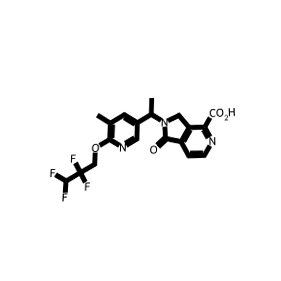 Cc1cc(C(C)N2Cc3c(ccnc3C(=O)O)C2=O)cnc1OCC(F)(F)C(F)F